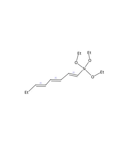 CC/C=C/C=C/C=C/[Si](OCC)(OCC)OCC